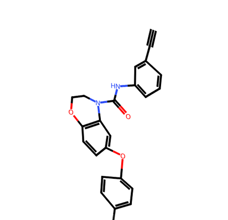 C#Cc1cccc(NC(=O)N2CCOc3ccc(Oc4ccc(C#N)cc4)cc32)c1